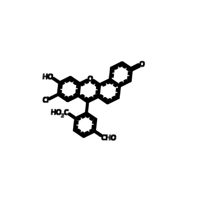 O=Cc1ccc(C(=O)O)c(-c2c3cc(Cl)c(O)cc3oc3c2ccc2cc(=O)ccc23)c1